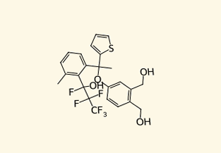 Cc1cccc(C(C)(Oc2ccc(CO)c(CO)c2)c2cccs2)c1C(O)(F)C(F)(F)C(F)(F)F